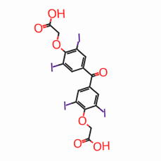 O=C(O)COc1c(I)cc(C(=O)c2cc(I)c(OCC(=O)O)c(I)c2)cc1I